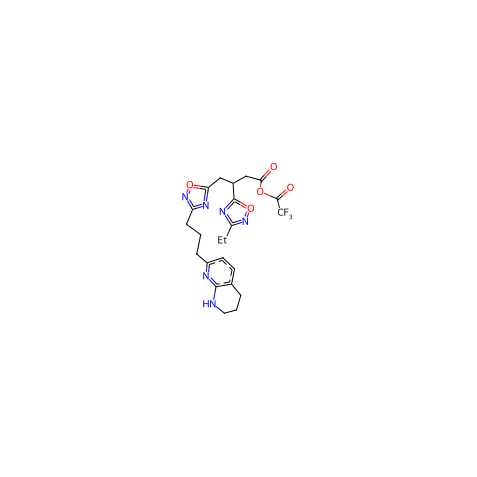 CCc1noc(C(CC(=O)OC(=O)C(F)(F)F)Cc2nc(CCCc3ccc4c(n3)NCCC4)no2)n1